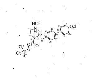 Cl.O=C(OCC(Cl)(Cl)Cl)N1CCNC[C@@H]1Cc1ccc(-c2ccc(Cl)cc2)cc1